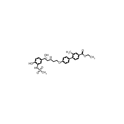 CCOC(=O)c1ccc(-c2ccc(OCCNC[C@@H](O)c3ccc(O)c(NS(C)(=O)=O)c3)cc2)c(C)c1